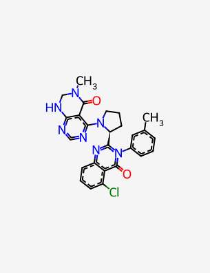 Cc1cccc(-n2c([C@@H]3CCCN3c3ncnc4c3C(=O)N(C)CN4)nc3cccc(Cl)c3c2=O)c1